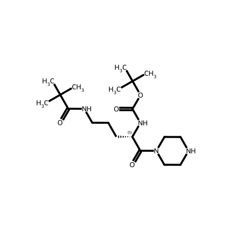 CC(C)(C)OC(=O)N[C@@H](CCCNC(=O)C(C)(C)C)C(=O)N1CCNCC1